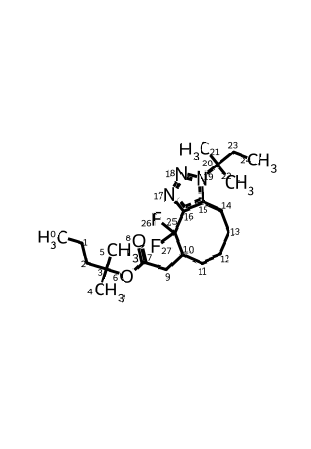 CCCC(C)(C)OC(=O)CC1CCCCc2c(nnn2C(C)(C)CC)C1(F)F